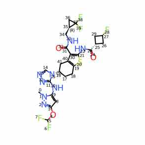 Cn1nc(OC(F)F)cc1Nc1nncn1[C@H]1CCc2sc(NC(=O)[C@H]3C[C@H](F)C3)c(C(=O)NC[C@H]3CC3(F)F)c2C1